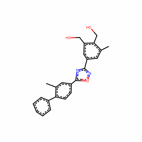 Cc1cc(-c2nc(-c3cc(C)c(CO)c(CO)c3)no2)ccc1-c1ccccc1